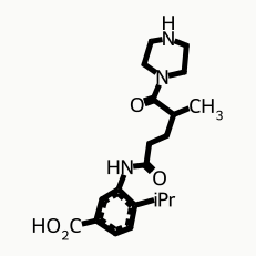 CC(CCC(=O)Nc1cc(C(=O)O)ccc1C(C)C)C(=O)N1CCNCC1